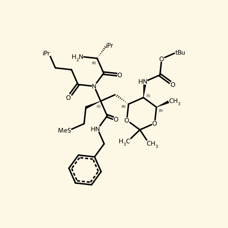 CSCC[C@@](C[C@H]1OC(C)(C)O[C@H](C)[C@@H]1NC(=O)OC(C)(C)C)(C(=O)NCc1ccccc1)N(C(=O)CCC(C)C)C(=O)[C@H](N)C(C)C